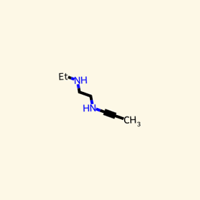 CC#CNCCNCC